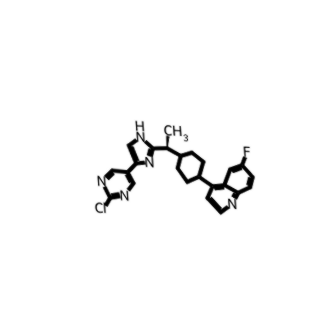 C[C@H](c1nc(-c2cnc(Cl)nc2)c[nH]1)C1CCC(c2ccnc3ccc(F)cc23)CC1